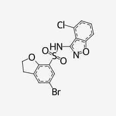 O=S(=O)(Nc1noc2cccc(Cl)c12)c1cc(Br)cc2c1OCC2